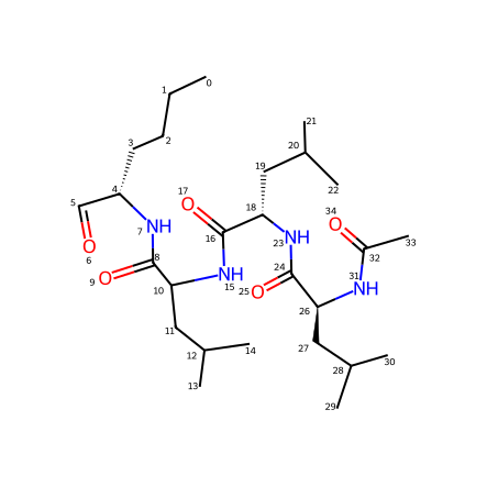 CCCC[C@@H](C=O)NC(=O)C(CC(C)C)NC(=O)[C@H](CC(C)C)NC(=O)[C@H](CC(C)C)NC(C)=O